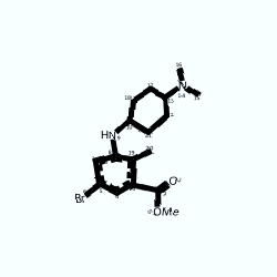 COC(=O)c1cc(Br)cc(NC2CCC(N(C)C)CC2)c1C